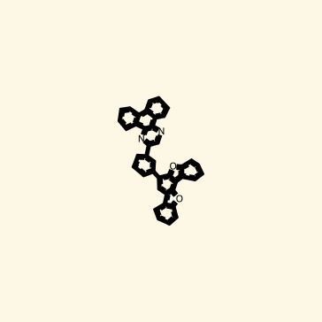 c1cc(-c2cnc3c4ccccc4c4ccccc4c3n2)cc(-c2cc3c4ccccc4oc3c3c2oc2ccccc23)c1